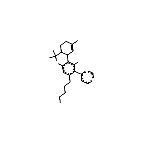 CCCCCc1cc2c(c(O)c1-c1ccncn1)C1C=C(C)CCC1C(C)(C)O2